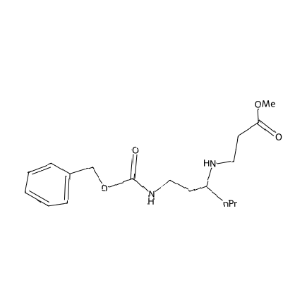 CCCC(CCNC(=O)OCc1ccccc1)NCCC(=O)OC